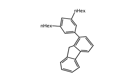 CCCCCCc1cc(CCCCCC)cc(-c2cccc3c2Cc2ccccc2-3)c1